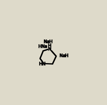 C1CNCCN1.[NaH].[NaH].[NaH]